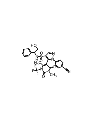 Cc1c(-c2c(S(=O)(=O)NC(CO)c3ccccc3)cnn2-c2ccc(C#N)cc2)c(=O)n(C)c(=O)n1C(F)(F)F